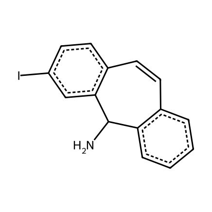 NC1c2ccccc2C=Cc2ccc(I)cc21